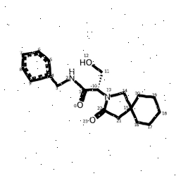 O=C(NCc1ccccc1)[C@H](CO)N1CC2(CCCCC2)CC1=O